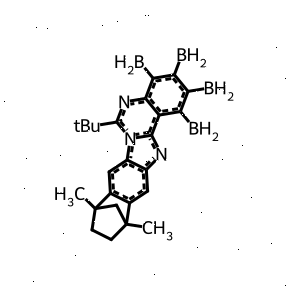 Bc1c(B)c(B)c2c(nc(C(C)(C)C)n3c4cc5c(cc4nc23)C2(C)CCC5(C)C2)c1B